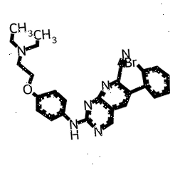 CCN(CC)CCOc1ccc(Nc2ncc3cc(-c4ccccc4Br)c(C#N)nc3n2)cc1